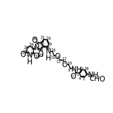 O=CNc1ccc(C(=O)NCCOCCOCCNc2cccc3c2C(=O)N(C2CCC(=O)NC2=O)C3=O)cc1